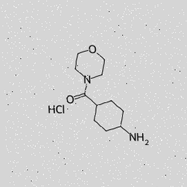 Cl.NC1CCC(C(=O)N2CCOCC2)CC1